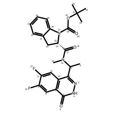 CC(c1n[nH]c(=O)c2cc(F)c(F)cc12)N(C)C(=O)[C@@H]1Cc2ccccc2N1C(=O)OC(C)(C)C